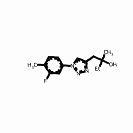 CCC(C)(O)Cc1cn(-c2ccc(C)c(F)c2)nn1